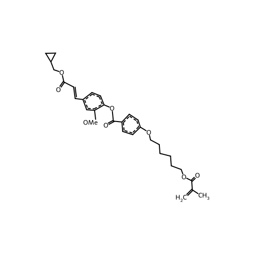 C=C(C)C(=O)OCCCCCCOc1ccc(C(=O)Oc2ccc(/C=C/C(=O)OCC3CC3)cc2OC)cc1